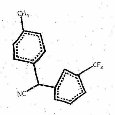 Cc1ccc(C(C#N)c2cccc(C(F)(F)F)c2)cc1